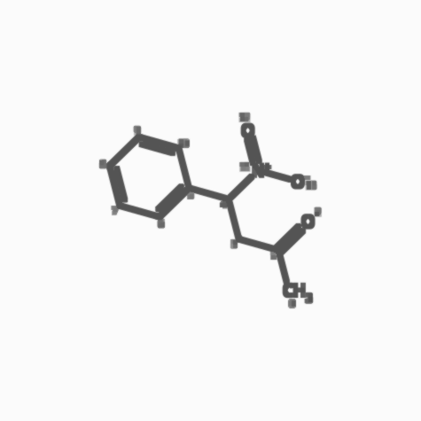 CC(=O)CC(c1ccccc1)[N+](=O)[O-]